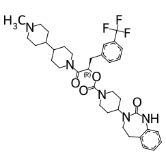 CN1CCC(C2CCN(C(=O)[C@@H](Cc3cccc(C(F)(F)F)c3)OC(=O)N3CCC(N4CCc5ccccc5NC4=O)CC3)CC2)CC1